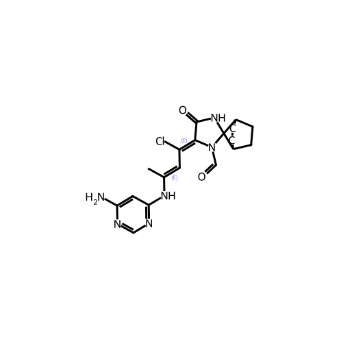 C/C(=C\C(Cl)=C1\C(=O)NC2(C3CCC2CC3)N1C=O)Nc1cc(N)ncn1